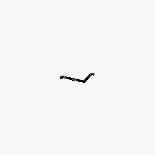 CC[CH2][Zn][CH2]C(C)C